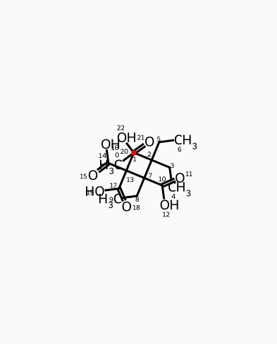 CCC(CC)(CC)C(CC)(C(=O)O)C(C(=O)O)(C(=O)O)C(=O)O